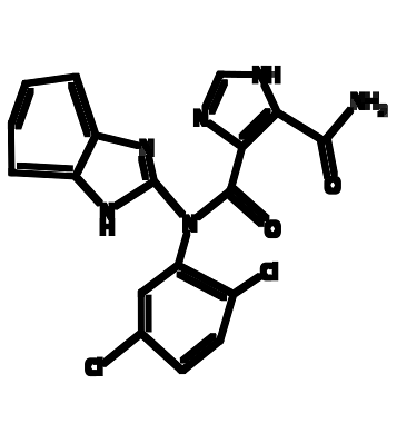 NC(=O)c1[nH]cnc1C(=O)N(c1nc2ccccc2[nH]1)c1cc(Cl)ccc1Cl